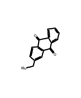 CC(C)(C)Cc1ccc2c(c1)C(=O)c1ccccc1C2=O